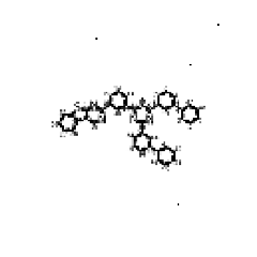 c1ccc(-c2cccc(-c3cc(-c4cccc(-c5ncc6c(n5)sc5ccccc56)c4)nc(-c4cccc(-c5ccccc5)c4)n3)c2)cc1